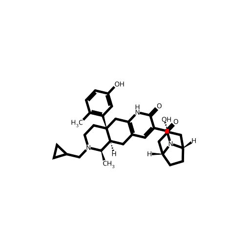 Cc1ccc(O)cc1[C@]12CCN(CC3CC3)[C@H](C)[C@@H]1Cc1cc(C(=O)N3[C@@H]4CC[C@H]3C[C@@H](O)C4)c(=O)[nH]c1C2